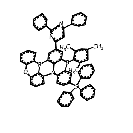 Cc1cc(C)c(B2c3cc([Si](c4ccccc4)(c4ccccc4)c4ccccc4)ccc3N3c4cccc5c4B(c4ccccc4O5)c4cc(-c5cc(-c6ccccc6)nc(-c6ccccc6)n5)cc2c43)c(C)c1